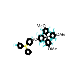 COc1c(F)c(F)c([B-](c2c(F)c(F)c(OC)c(F)c2F)(c2c(F)c(F)c(OC)c(F)c2F)c2c(F)c(F)c(OC)c(F)c2F)c(F)c1F.Fc1ccc([S+](c2ccccc2)c2ccc(F)cc2)cc1